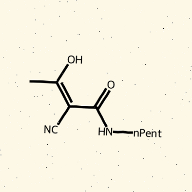 CCCCCNC(=O)/C(C#N)=C(/C)O